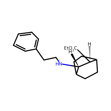 CCOC(=O)[C@H]1C2CCC(CC2)[C@@H]1NCCc1ccccc1